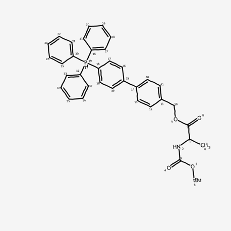 CC(NC(=O)OC(C)(C)C)C(=O)OCc1ccc(-c2ccc([PH](c3ccccc3)(c3ccccc3)c3ccccc3)cc2)cc1